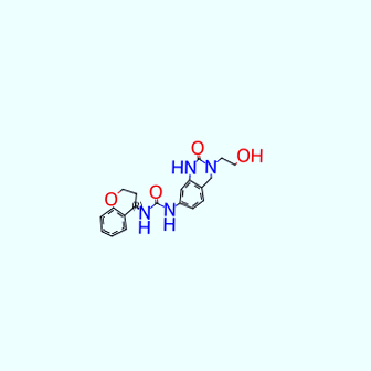 O=C(Nc1ccc2c(c1)NC(=O)N(CCO)C2)N[C@@H]1CCOc2ccccc21